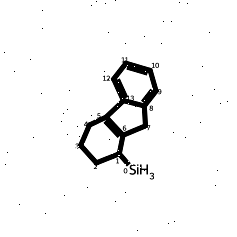 [SiH3]C1CCCC2=C1Cc1ccccc12